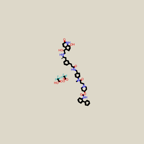 C[C@H](Cc1cccc(CCC(=O)NCc2ccc(N(C)C(=O)CCN3CCC(OC(=O)Nc4ccccc4-c4ccccc4)CC3)cc2)c1)NC[C@H](O)c1ccc(O)c2[nH]c(=O)ccc12.O=C(O)C(F)(F)F.O=C(O)C(F)(F)F